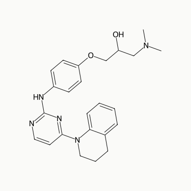 CN(C)CC(O)COc1ccc(Nc2nccc(N3CCCc4ccccc43)n2)cc1